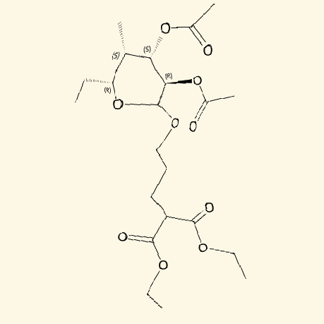 CCOC(=O)C(CCCOC1O[C@H](CC)[C@H](C)[C@H](OC(C)=O)[C@H]1OC(C)=O)C(=O)OCC